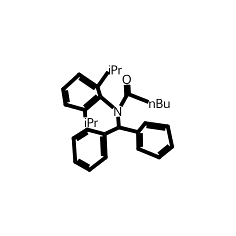 CCCCC(=O)N(c1c(C(C)C)cccc1C(C)C)C(c1ccccc1)c1ccccc1